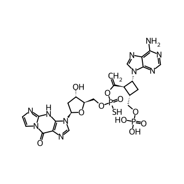 C=C(OP(=O)(S)OC[C@H]1O[C@@H](n2cnc3c(=O)n4ccnc4[nH]c32)C[C@@H]1O)[C@@H]1[C@@H](COP(=O)(O)O)C[C@H]1n1cnc2c(N)ncnc21